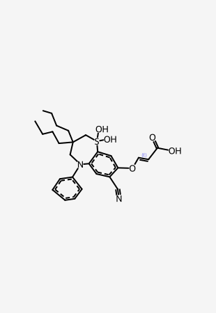 CCCCC1(CCCC)CN(c2ccccc2)c2cc(C#N)c(O/C=C/C(=O)O)cc2S(O)(O)C1